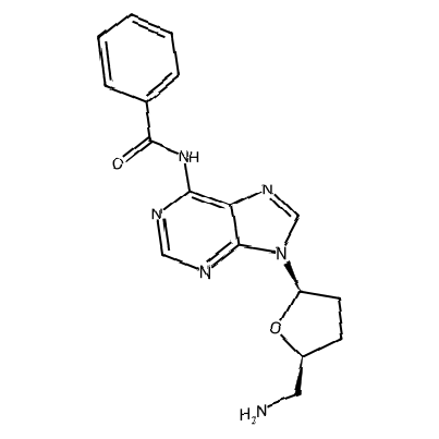 NC[C@@H]1CC[C@H](n2cnc3c(NC(=O)c4ccccc4)ncnc32)O1